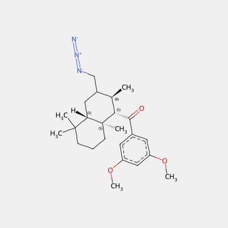 COc1cc(OC)cc(C(=O)[C@H]2[C@H](C)C(CN=[N+]=[N-])C[C@H]3C(C)(C)CCC[C@]23C)c1